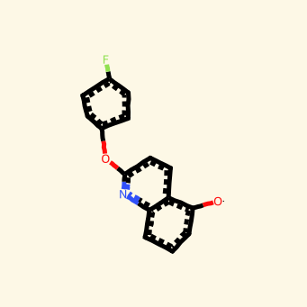 [O]c1cccc2nc(Oc3ccc(F)cc3)ccc12